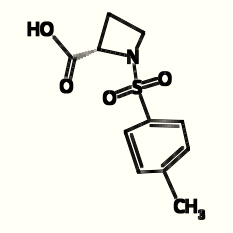 Cc1ccc(S(=O)(=O)N2CC[C@H]2C(=O)O)cc1